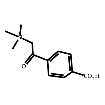 CCOC(=O)c1ccc(C(=O)C[Si](C)(C)C)cc1